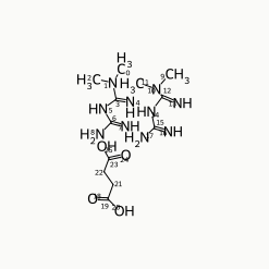 CN(C)C(=N)NC(=N)N.CN(C)C(=N)NC(=N)N.O=C(O)CCC(=O)O